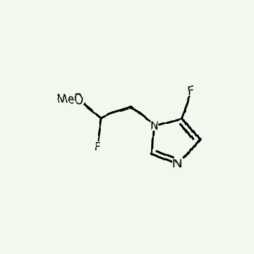 COC(F)Cn1cncc1F